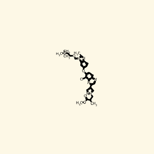 COC(=O)C(C)Cn1cc(-c2cnc3ccc(Oc4ccc5nc(C)n(COCC[Si](C)(C)C)c5c4)c(Cl)c3n2)cn1